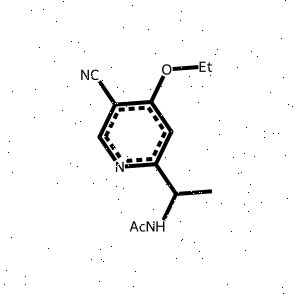 CCOc1cc(C(C)NC(C)=O)ncc1C#N